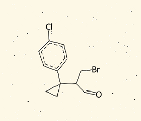 O=CC(CBr)C1(c2ccc(Cl)cc2)CC1